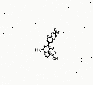 CC1CN(c2ccc(OC(F)(F)F)cc2)C(=O)c2c(C(=O)O)cnn21